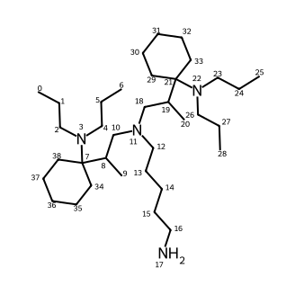 CCCN(CCC)C1(C(C)CN(CCCCCN)CC(C)C2(N(CCC)CCC)CCCCC2)CCCCC1